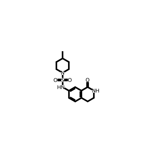 CC1CCN(S(=O)(=O)Nc2ccc3c(c2)C(=O)NCC3)CC1